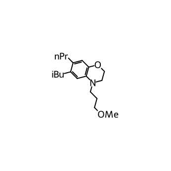 CCCc1cc2c(cc1C(C)CC)N(CCCOC)CCO2